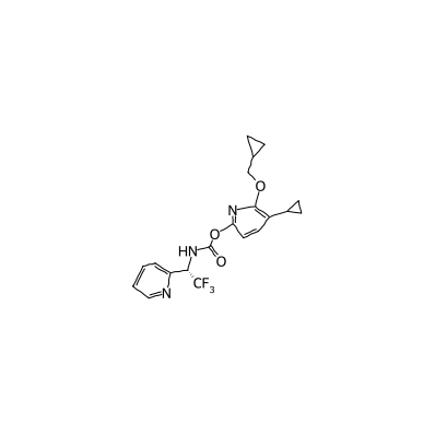 O=C(N[C@@H](c1ccccn1)C(F)(F)F)Oc1ccc(C2CC2)c(OCC2CC2)n1